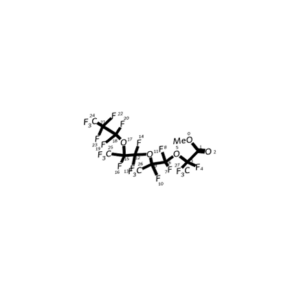 COC(=O)C(F)(OC(F)(F)C(F)(OC(F)(F)C(F)(OC(F)(F)C(F)(F)C(F)(F)F)C(F)(F)F)C(F)(F)F)C(F)(F)F